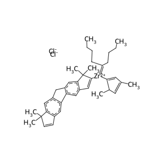 CCCC[C](CCCC)=[Zr+2]([C]1=CC(C)=CC1C)[C]1=Cc2cc3c(cc2C1(C)C)Cc1cc2c(cc1-3)C=CC2(C)C.[Cl-].[Cl-]